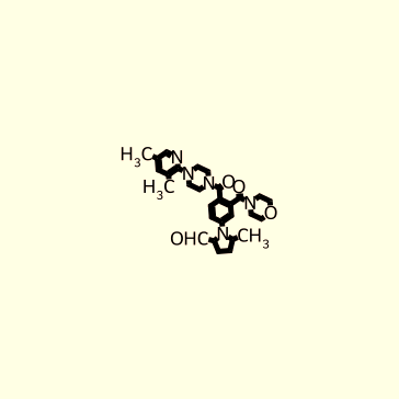 Cc1cnc(N2CCN(C(=O)c3ccc(N4C(C)CCC4C=O)cc3C(=O)N3CCOCC3)CC2)c(C)c1